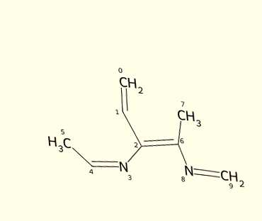 C=CC(/N=C\C)=C(\C)N=C